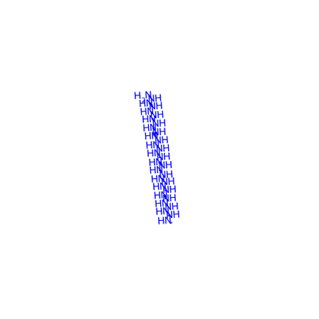 CNNNNNNNNNNNNNNNNNNNNNNNNNNNNNNN